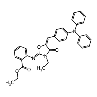 CCOC(=O)c1ccccc1N=C1O/C(=C/c2ccc(N(c3ccccc3)c3ccccc3)cc2)C(=O)N1CC